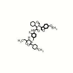 CCC(=O)N[C@H](Cc1ccc(NC(=O)[C@H](C2CCCCC2)N(C=O)c2coc3cc(OC)ccc23)c(F)c1)C(=O)N1CCN(C)CC1